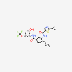 CCc1ccc(C(=O)N[C@H]2C[C@H](OC(F)(F)F)C[C@@H]2O)cc1NC(=O)c1cnc(C2CC2)s1